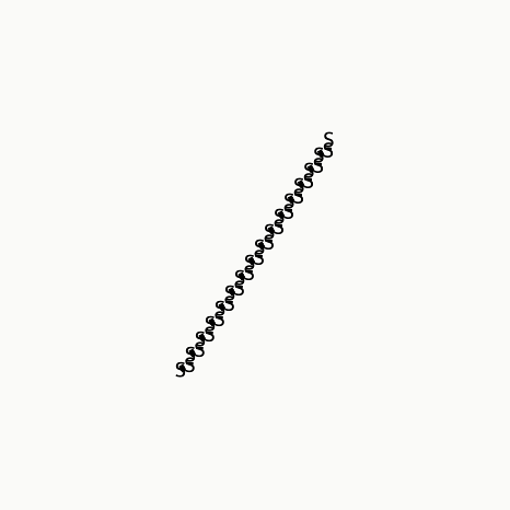 S=S=S=S=S=S=S=S=S=S=S=S=S=S=S=S=S=S=S=S=S=S=S=S=S=S=S=S=S=S=S